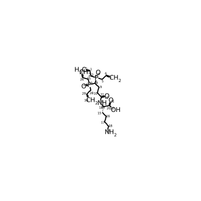 C=CCP(=O)(CC=C)C(CCC(=O)N[C@@H](CCCCN)C(=O)O)P(=O)(CC=C)CC=C